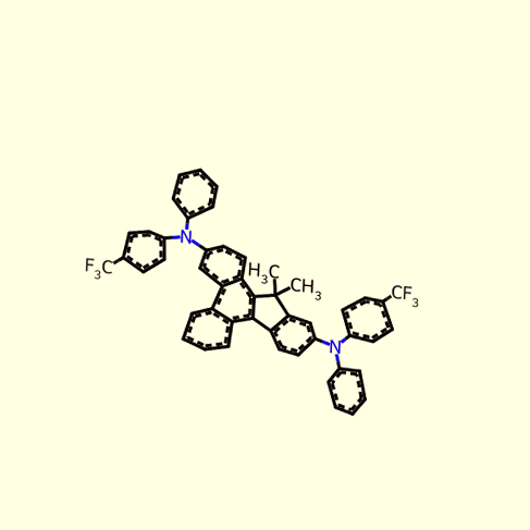 CC1(C)c2cc(N(c3ccccc3)c3ccc(C(F)(F)F)cc3)ccc2-c2c1c1ccc(N(c3ccccc3)c3ccc(C(F)(F)F)cc3)cc1c1ccccc21